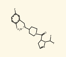 N[C@H](Cc1cc(F)ccc1F)C1CCN(C(=O)C2CC=NN2C(F)F)CC1